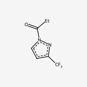 CCC(=O)n1ccc(C(F)(F)F)n1